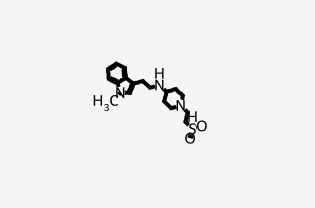 Cn1cc(CCNC2CCN(CC[SH](=O)=O)CC2)c2ccccc21